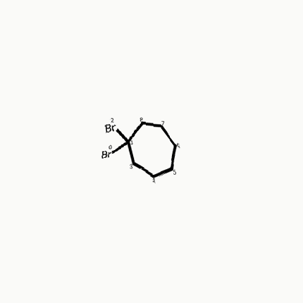 BrC1(Br)CCCCCC1